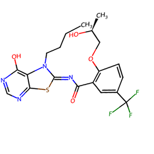 CCCCn1c(=NC(=O)c2cc(C(F)(F)F)ccc2OC[C@H](C)O)sc2ncnc(O)c21